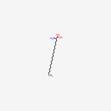 CCCCCCCCCCCCCCCCCCCC(N)C(O)O